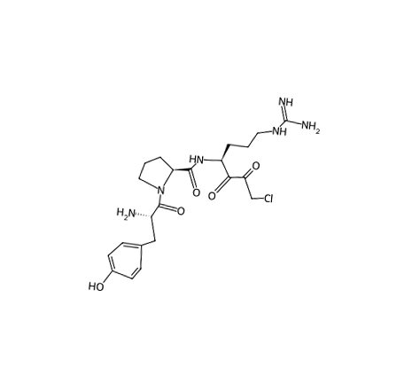 N=C(N)NCCC[C@H](NC(=O)[C@@H]1CCCN1C(=O)[C@@H](N)Cc1ccc(O)cc1)C(=O)C(=O)CCl